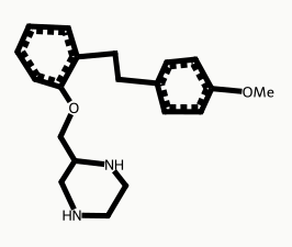 COc1ccc(CCc2ccccc2OCC2CNCCN2)cc1